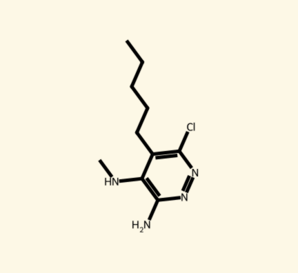 CCCCCc1c(Cl)nnc(N)c1NC